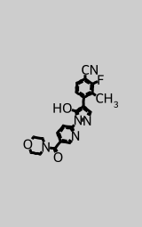 Cc1c(-c2cnn(-c3ccc(C(=O)N4CCOCC4)cn3)c2O)ccc(C#N)c1F